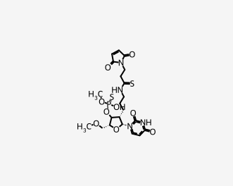 COC[C@H]1O[C@@H](n2ccc(=O)[nH]c2=O)[C@@H](CCCNC(=S)CCN2C(=O)C=CC2=O)C1OP(O)(=S)OC